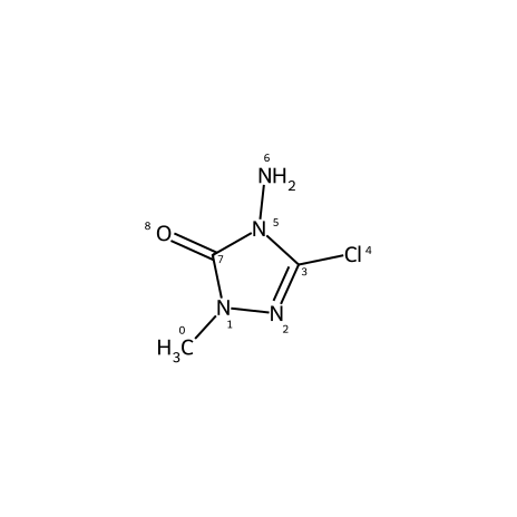 Cn1nc(Cl)n(N)c1=O